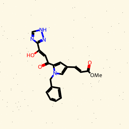 COC(=O)C=Cc1cc(C(=O)C=C(O)c2nc[nH]n2)n(Cc2ccccc2)c1